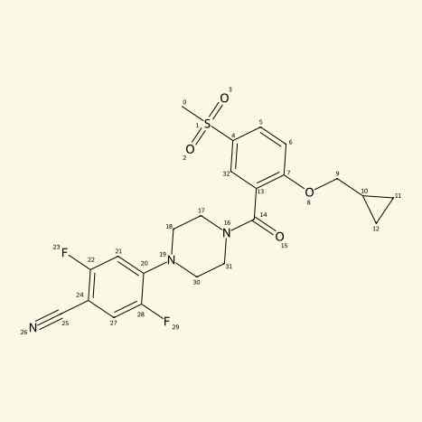 CS(=O)(=O)c1ccc(OCC2CC2)c(C(=O)N2CCN(c3cc(F)c(C#N)cc3F)CC2)c1